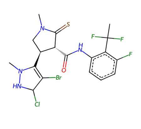 CN1C[C@H](C2=C(Br)C(Cl)NN2C)[C@@H](C(=O)Nc2cccc(F)c2C(C)(F)F)C1=S